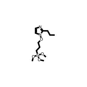 CCCc1nccn1OCCC[Si](OC)(OC)OC